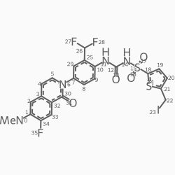 CNc1cc2ccn(-c3ccc(NC(=O)NS(=O)(=O)c4ccc(CI)s4)c(C(F)F)c3)c(=O)c2cc1F